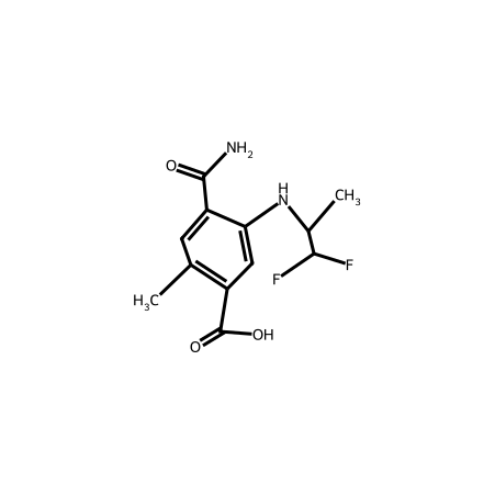 Cc1cc(C(N)=O)c(NC(C)C(F)F)cc1C(=O)O